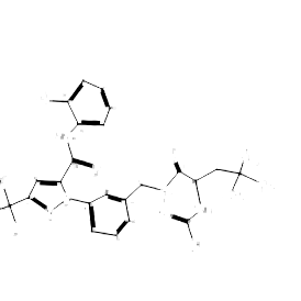 CC(C)(C)CC(NC(=O)O)C(=O)NCc1cccc(-n2nc(C(F)(F)F)cc2C(=O)Nc2ccccc2O)c1